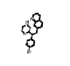 Brc1ccc(C(Cc2ccc3cccnc3c2)C2CNCC[N]2)cc1